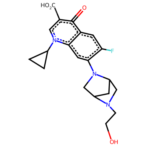 O=C(O)c1cn(C2CC2)c2cc(N3CC4CC3CN4CCO)c(F)cc2c1=O